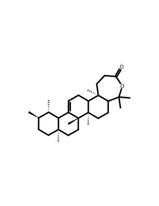 C[C@@H]1CC[C@]2(C)CC[C@]3(C)C(=CCC4[C@@]5(C)CCC(=O)OC(C)(C)C5CC[C@]43C)C2[C@H]1C